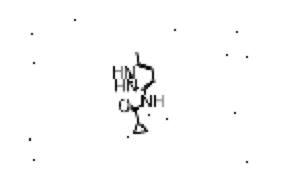 CC1=CC=C(NC(=O)C2CC2)NN1